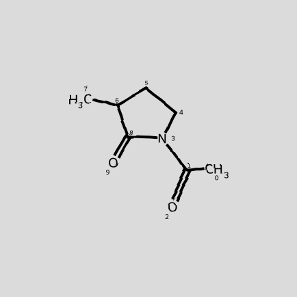 CC(=O)N1CCC(C)C1=O